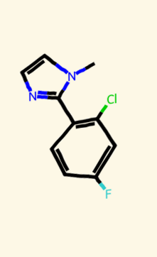 Cn1ccnc1-c1ccc(F)cc1Cl